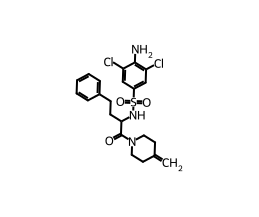 C=C1CCN(C(=O)C(CCc2ccccc2)NS(=O)(=O)c2cc(Cl)c(N)c(Cl)c2)CC1